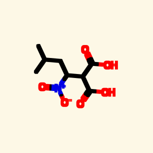 CC(C)CC(C(C(=O)O)C(=O)O)[N+](=O)[O-]